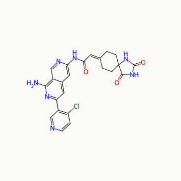 Nc1nc(-c2cnccc2Cl)cc2cc(NC(=O)C=C3CCC4(CC3)NC(=O)NC4=O)ncc12